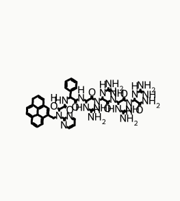 N=C(N)NC(NC(=O)C(NC(=N)N)NC(=O)C(NC(=N)N)NC(=O)C(NC(=N)N)NC(=O)C(NC(=O)C(O)N(CC1=CC2=C3C(=CC=C4C=CC=C1C43)CC=C2)c1ncccn1)c1ccccc1)C(N)=O